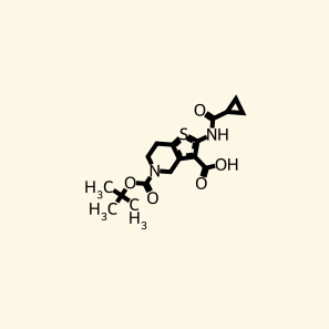 CC(C)(C)OC(=O)N1CCc2sc(NC(=O)C3CC3)c(C(=O)O)c2C1